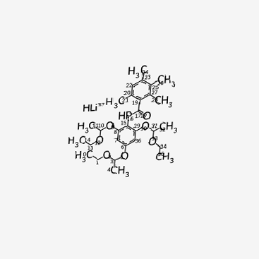 CCOC(C)Oc1cc(OC(C)OCC)c(PC(=O)c2c(C)cc(C)c(C)c2C)c(OC(C)OCC)c1.[LiH]